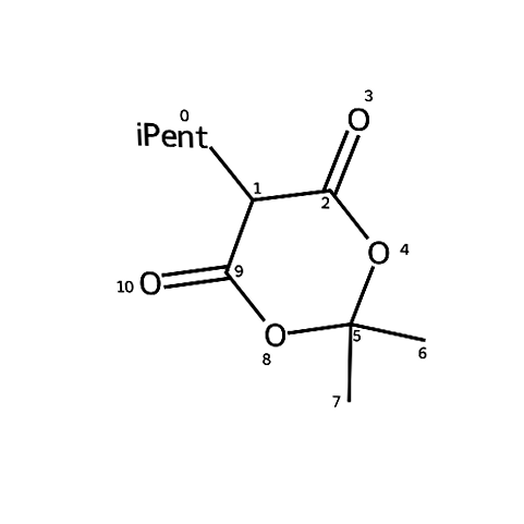 CCCC(C)C1C(=O)OC(C)(C)OC1=O